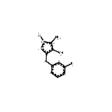 CCn1nc(Cc2cccc(Br)c2)c(C#N)c1N